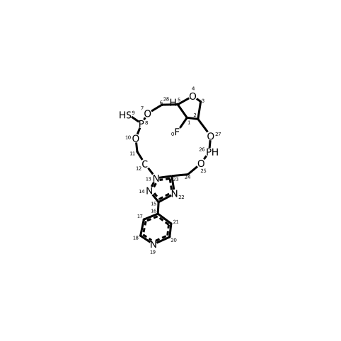 FC1C2CO[C@@H]1COP(S)OCCn1nc(-c3ccncc3)nc1COPO2